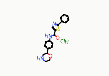 Cl.O=C(Nc1ccc(C2CNCCO2)cc1)c1cnc(-c2ccccc2)s1